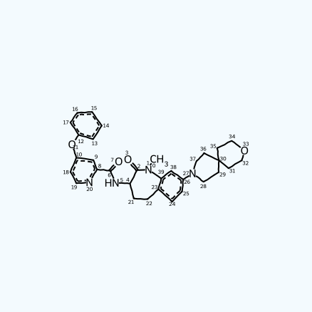 CN1C(=O)C(NC(=O)c2cc(Oc3ccccc3)ccn2)CCc2ccc(N3CCC4(CCOCC4)CC3)cc21